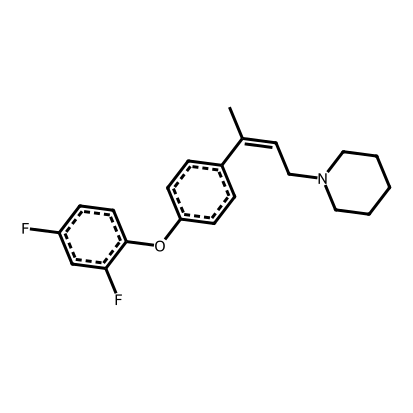 CC(=CCN1CCCCC1)c1ccc(Oc2ccc(F)cc2F)cc1